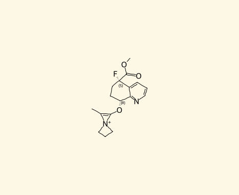 COC(=O)[C@]1(F)CC[C@@H](OC2=C(C)[N+]23CCC3)c2ncccc21